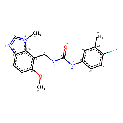 COc1ccc2ncn(C)c2c1CNC(=O)Nc1ccc(F)c(C)c1